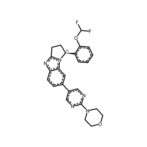 FC(F)Oc1ccccc1[C@@H]1CCc2nc3ccc(-c4cnc(N5CCOCC5)nc4)cc3n21